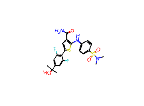 CN(C)S(=O)(=O)c1ccc(Nc2sc(-c3c(F)cc(C(C)(C)O)cc3F)cc2C(N)=O)cc1